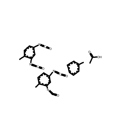 CC(=O)O.Cc1ccc(N=C=O)cc1N=C=O.Cc1ccc(N=C=O)cc1N=C=O.Cc1ccccc1